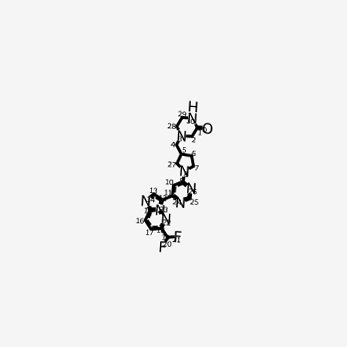 O=C1CN(CC2CCN(c3cc(-c4cnc5ccc(C(F)F)nn45)ncn3)C2)CCN1